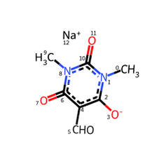 Cn1c([O-])c(C=O)c(=O)n(C)c1=O.[Na+]